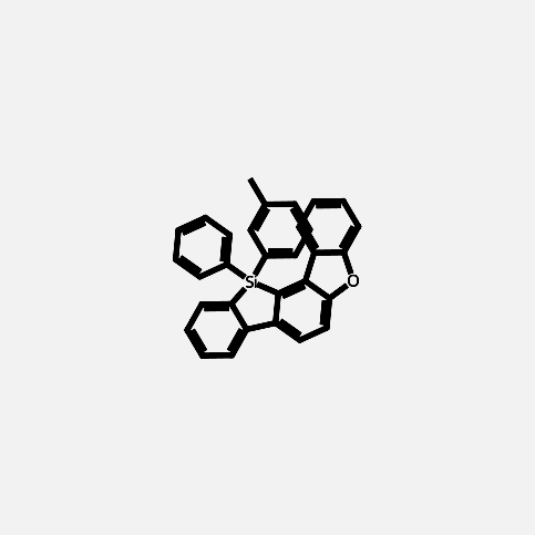 Cc1cccc([Si]2(c3ccccc3)c3ccccc3-c3ccc4oc5ccccc5c4c32)c1